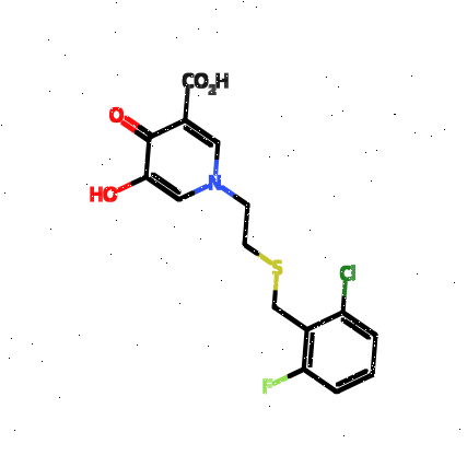 O=C(O)c1cn(CCSCc2c(F)cccc2Cl)cc(O)c1=O